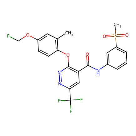 Cc1cc(OCF)ccc1Oc1nnc(C(F)(F)F)cc1C(=O)Nc1cccc(S(C)(=O)=O)c1